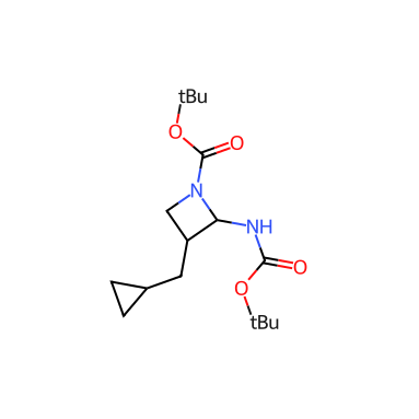 CC(C)(C)OC(=O)NC1C(CC2CC2)CN1C(=O)OC(C)(C)C